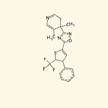 CC1=CN=CCC1(C)c1noc(C2=CC(c3ccccc3)C(C(F)(F)F)S2)n1